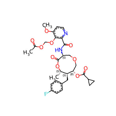 COc1ccnc(C(=O)N[C@H]2COC[C@H](OC(=O)C3CC3)[C@@H](Cc3ccc(F)cc3)[C@H](C)OC2=O)c1OCOC(C)=O